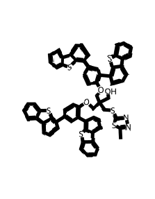 Cc1nnc(SCC(CO)(COc2ccc(-c3cccc4c3sc3ccccc34)cc2-c2cccc3c2sc2ccccc23)COc2ccc(-c3cccc4c3sc3ccccc34)cc2-c2cccc3c2sc2ccccc23)s1